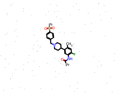 Cc1cc(F)c(NC(=O)C(C)C)cc1C1CCN(Cc2ccc(S(=O)(=O)C(C)C)cc2)CC1